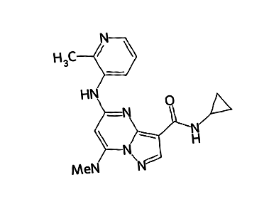 CNc1cc(Nc2cccnc2C)nc2c(C(=O)NC3CC3)cnn12